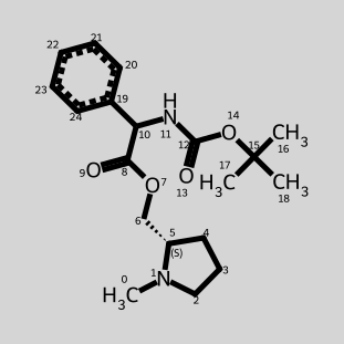 CN1CCC[C@H]1COC(=O)C(NC(=O)OC(C)(C)C)c1ccccc1